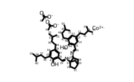 CC(=O)[O-].CC(=O)[O-].CC(C)CCc1cc(C=NC2CC3CCC2(N=Cc2cc(CCC(C)C)cc(CCC(C)C)c2O)C3)c(O)c(CCC(C)C)c1.[Co+2]